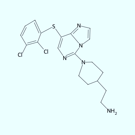 NCCC1CCN(c2ncc(Sc3cccc(Cl)c3Cl)c3nccn23)CC1